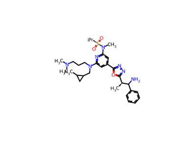 CC1CC1CN(CCCN(C)C)c1cc(-c2nnc([C@H](C)C(N)c3ccccc3)o2)cc(N(C)S(=O)(=O)C(C)C)n1